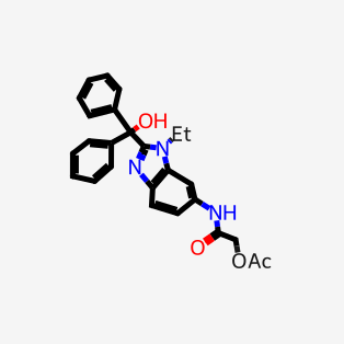 CCn1c(C(O)(c2ccccc2)c2ccccc2)nc2ccc(NC(=O)COC(C)=O)cc21